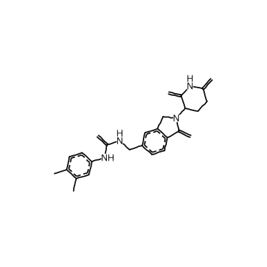 C=C1CCC(N2Cc3cc(CNC(=C)Nc4ccc(C)c(C)c4)ccc3C2=C)C(=C)N1